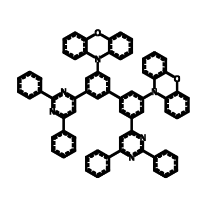 c1ccc(-c2cc(-c3cc(-c4cc(-c5cc(-c6ccccc6)nc(-c6ccccc6)n5)cc(N5c6ccccc6Oc6ccccc65)c4)cc(N4c5ccccc5Oc5ccccc54)c3)nc(-c3ccccc3)n2)cc1